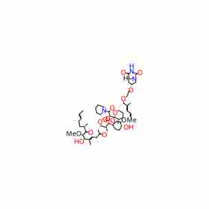 C=C/C=C(\C)[C@H](C[C@@H]1CC[C@@H](C)[C@](O)(C(=O)C(=O)N2CCCC[C@H]2C(=O)O[C@@H](CC(=O)[C@H](C)/C=C(\C)[C@@H](O)[C@@H](OC)C(=O)[C@H](C)C[C@H](C)/C=C/C)[C@H](C)C[C@@H]2CC[C@@H](O)[C@H](OC)C2)O1)OCCO[C@@H]1C[C@H]2C(=O)NC(=O)N2C1